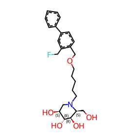 OC[C@H]1[C@@H](O)[C@H](O)[C@@H](O)CN1CCCCCOCc1ccc(-c2ccccc2)cc1CF